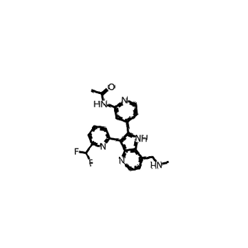 CNCc1ccnc2c(-c3cccc(C(F)F)n3)c(-c3ccnc(NC(C)=O)c3)[nH]c12